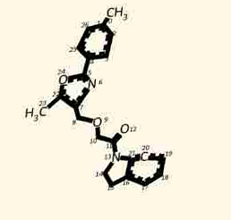 Cc1ccc(-c2nc(COCC(=O)N3CCc4ccccc43)c(C)o2)cc1